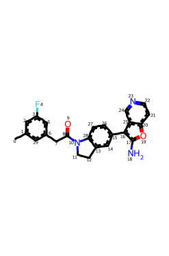 Cc1cc(F)cc(CC(=O)N2CCc3cc(-c4c(N)oc5ccncc45)ccc32)c1